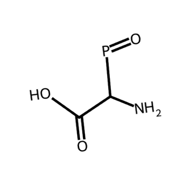 NC(P=O)C(=O)O